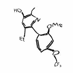 CCc1cc(O)c(C)nc1-c1ccc(OC(F)(F)F)cc1OC